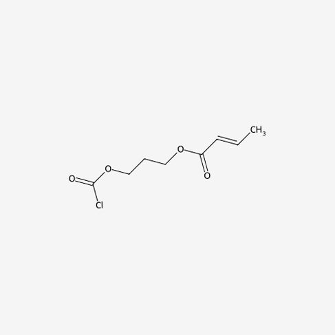 CC=CC(=O)OCCCOC(=O)Cl